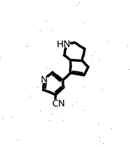 N#Cc1cncc(C2=CCC3CCNCC23)c1